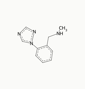 CNCc1ccccc1-n1cncn1